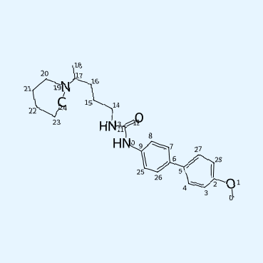 COc1ccc(-c2ccc(NC(=O)NCCCC(C)N3CCCCC3)cc2)cc1